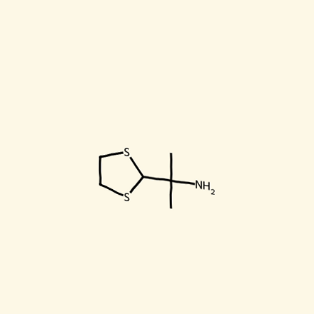 CC(C)(N)C1SCCS1